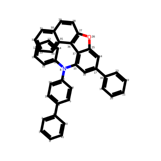 c1ccc(-c2ccc(N(c3ccccc3)c3cc(-c4ccccc4)cc4oc5ccc6ccccc6c5c34)cc2)cc1